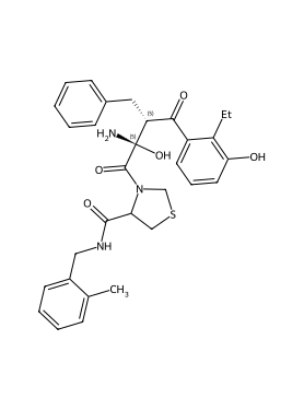 CCc1c(O)cccc1C(=O)[C@@H](Cc1ccccc1)[C@](N)(O)C(=O)N1CSCC1C(=O)NCc1ccccc1C